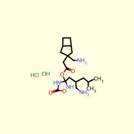 CC(C)CC(CN)CC1(OC(=O)CC2(CN)CC3CCC3C2)NOC(=O)N1.Cl.Cl